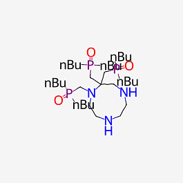 CCCCP(=O)(CCCC)CN1CCNCCNCC1(CP(=O)(CCCC)CCCC)CP(=O)(CCCC)CCCC